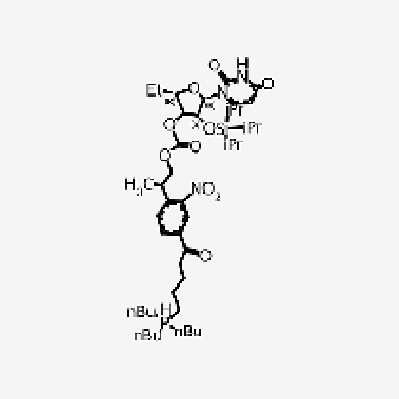 CCCC[PH](CCCC)(CCCC)CCCCC(=O)c1ccc(C(C)COC(=O)OC2[C@@H](CC)O[C@@H](n3ccc(=O)[nH]c3=O)[C@H]2O[Si](C(C)C)(C(C)C)C(C)C)c([N+](=O)[O-])c1